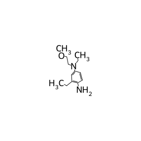 CCc1cc(N(CC)CCOC)ccc1N